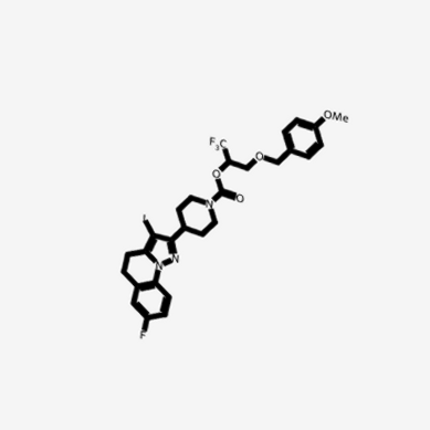 COc1ccc(COCC(OC(=O)N2CCC(c3nn4c(c3I)CCc3cc(F)ccc3-4)CC2)C(F)(F)F)cc1